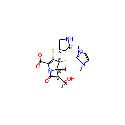 C[C@@H](O)[C@H]1C(=O)N2C(C(=O)[O-])=C(S[C@@H]3CN[C@H](C[n+]4ccn(C)c4)C3)[C@H](C)[C@H]12